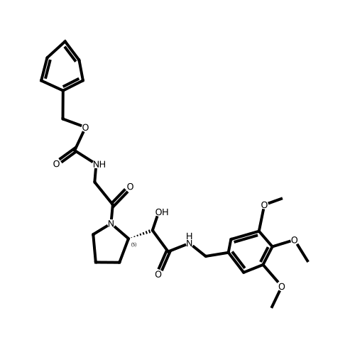 COc1cc(CNC(=O)C(O)[C@@H]2CCCN2C(=O)CNC(=O)OCc2ccccc2)cc(OC)c1OC